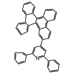 c1ccc(-c2cc(-c3ccc4c5ccccc5c5c6ccccc6c6ccccc6c5c4c3)cc(-c3ccccc3)n2)cc1